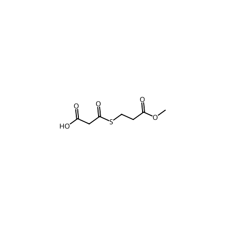 COC(=O)CCSC(=O)CC(=O)O